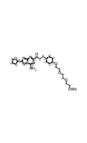 COCCOCCOCCOc1ccc(CCNc2nc(N)n3nc(-c4ccco4)nc3n2)cc1